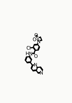 O=C(Nc1cccc(-c2ccc3cnccc3n2)c1)c1ccc(N2CCS2(=O)=O)cc1Cl